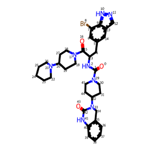 O=C(NC(Cc1cc(Br)c2[nH]ncc2c1)C(=O)N1CCC(N2CCCCC2)CC1)N1CCC(N2Cc3ccccc3NC2=O)CC1